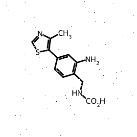 Cc1ncsc1-c1ccc(CNC(=O)O)c(N)c1